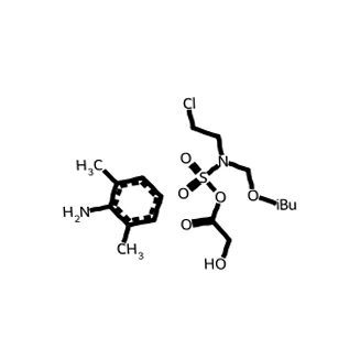 CCC(C)OCN(CCCl)S(=O)(=O)OC(=O)CO.Cc1cccc(C)c1N